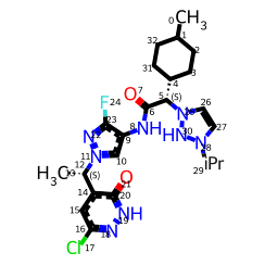 CC1CCC([C@@H](C(=O)Nc2cn([C@@H](C)c3cc(Cl)n[nH]c3=O)nc2F)N2C=CN(C(C)C)N2)CC1